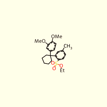 CCOS(=O)(=O)c1ccc(C)cc1C1(c2ccc(OC)c(OC)c2)CCCCC1